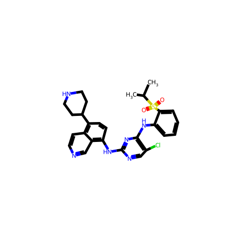 CC(C)S(=O)(=O)c1ccccc1Nc1nc(Nc2ccc(C3CCNCC3)c3ccncc23)ncc1Cl